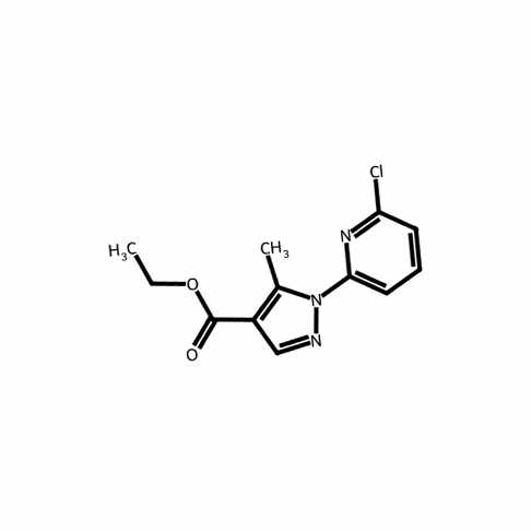 CCOC(=O)c1cnn(-c2cccc(Cl)n2)c1C